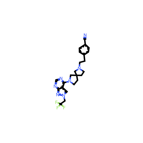 N#Cc1ccc(CCN2CCC3(CCN(c4ncnc5nn(CC(F)(F)F)cc45)C3)C2)cc1